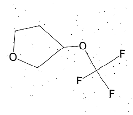 FC(F)(F)OC1CCOC1